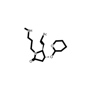 CBCCCN1C(=O)C[C@@H](OC2CCCCO2)[C@@H]1/C=C/C(C)=O